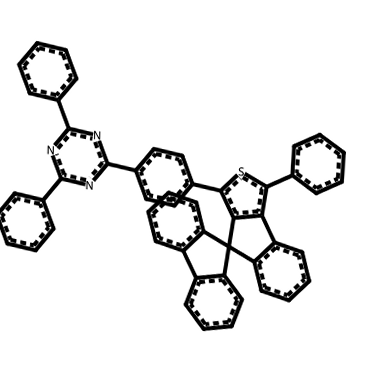 c1ccc(-c2nc(-c3ccccc3)nc(-c3ccc(-c4sc(-c5ccccc5)c5c4C4(c6ccccc6-c6ccccc64)c4ccccc4-5)cc3)n2)cc1